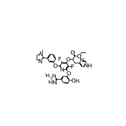 CCOC(=O)C(Cc1c[nH]cn1)Oc1c(F)c(Oc2cccc(C3=NCCN3C)c2)nc(Oc2cc(C(=N)N)ccc2O)c1F